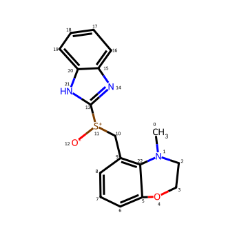 CN1CCOc2cccc(C[S+]([O-])c3nc4ccccc4[nH]3)c21